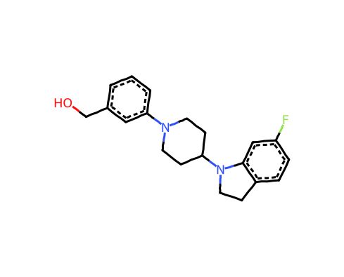 OCc1cccc(N2CCC(N3CCc4ccc(F)cc43)CC2)c1